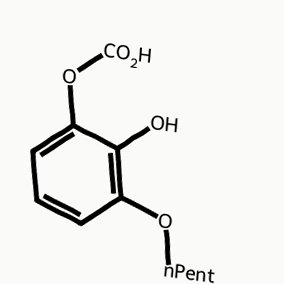 CCCCCOc1cccc(OC(=O)O)c1O